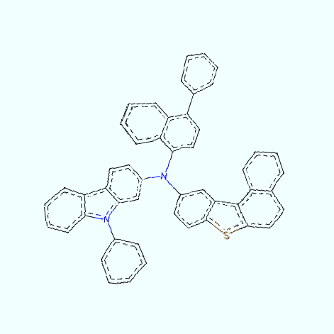 c1ccc(-c2ccc(N(c3ccc4sc5ccc6ccccc6c5c4c3)c3ccc4c5ccccc5n(-c5ccccc5)c4c3)c3ccccc23)cc1